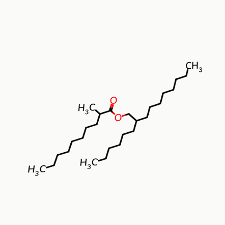 CCCCCCCCC(CCCCCC)COC(=O)C(C)CCCCCCCC